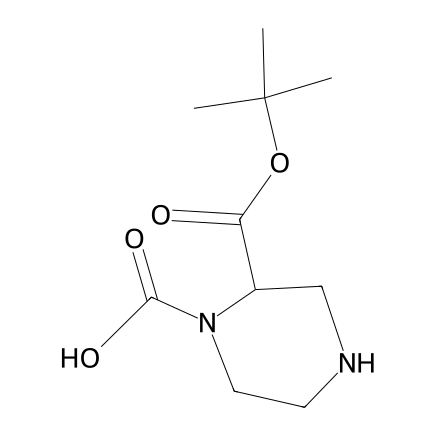 CC(C)(C)OC(=O)C1CNCCN1C(=O)O